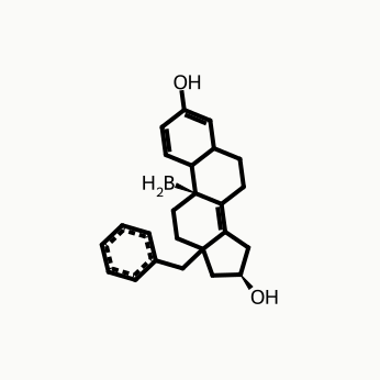 B[C@]12CCC3(Cc4ccccc4)C[C@H](O)CC3=C1CCC1C=C(O)C=CC12